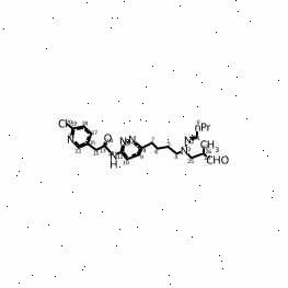 CCC/C=N/N(CCCCc1ccc(NC(=O)Cc2ccc(Cl)nc2)nn1)CC(C)C=O